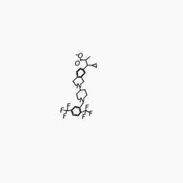 COC(=O)C(C)C(c1ccc2c(c1)CN(C1CCN(Cc3cc(C(F)(F)F)ccc3C(F)(F)F)CC1)CC2)C1CC1